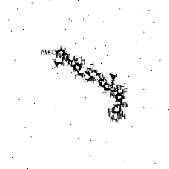 COc1ccc2cc(-c3nc4cc(C(=O)N5CC[C@@H]6OC(Oc7ccc8cc(-c9nc%10cc(C(=O)N%11CC[C@H]%12OCCN[C@H]%12C%11)cc(F)c%10n9C)n(CC9CC9)c8n7)CN[C@@H]6C5)cc(F)c4n3C)n(CC3CC3)c2n1